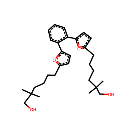 CC(C)(CO)CCCCc1ccc(-c2ccccc2-c2ccc(CCCCC(C)(C)CO)o2)o1